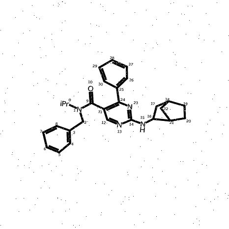 CC(C)N(Cc1ccccc1)C(=O)c1cnc(NC2CC3CCC2C3)nc1-c1ccccc1